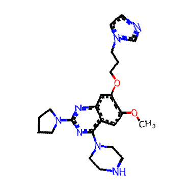 COc1cc2c(N3CCNCC3)nc(N3CCCC3)nc2cc1OCCCn1ccnc1